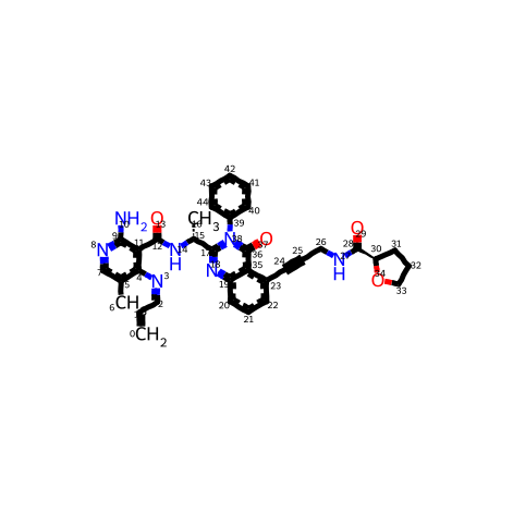 C=C/C=N\c1c(C)cnc(N)c1C(=O)N[C@H](C)c1nc2cccc(C#CCNC(=O)[C@H]3CCCO3)c2c(=O)n1-c1ccccc1